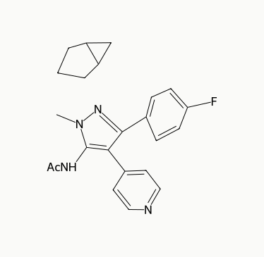 C1CC2CC2C1.CC(=O)Nc1c(-c2ccncc2)c(-c2ccc(F)cc2)nn1C